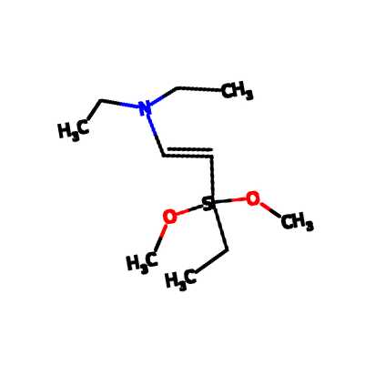 CCN(C=C[Si](CC)(OC)OC)CC